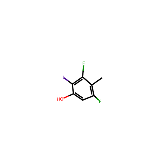 Cc1c(F)cc(O)c(I)c1F